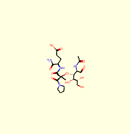 CC(=O)N[C@@H](C=O)[C@@H](OC(C)(C(=O)NC(CCC(=O)O)C(N)=O)C(=O)N1CCCC1)[C@H](O)[C@H](O)CO